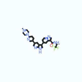 C[C@@H](NC(=O)c1cnn2ccc(-c3c[nH]c4ncc(-c5ccc(N6CCN(C)CC6)nc5)cc34)cc12)C(F)(F)F